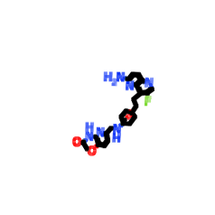 Nc1ccc2ncc(F)c(CCC34CCC(NCc5ccc6c(n5)NC(=O)CO6)(CC3)CO4)c2n1